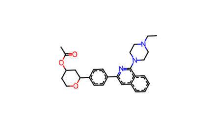 CCN1CCN(c2nc(-c3ccc(C4CC(OC(C)=O)CCO4)cc3)cc3ccccc23)CC1